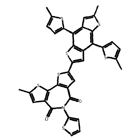 Cc1ccc(-c2c3cc(-c4cc5c(=O)n(-c6cccs6)c(=O)c6cc(C)sc6c5s4)sc3c(-c3ccc(C)s3)c3cc(C)sc23)s1